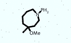 COC1(C)CCCCN(P)CC1